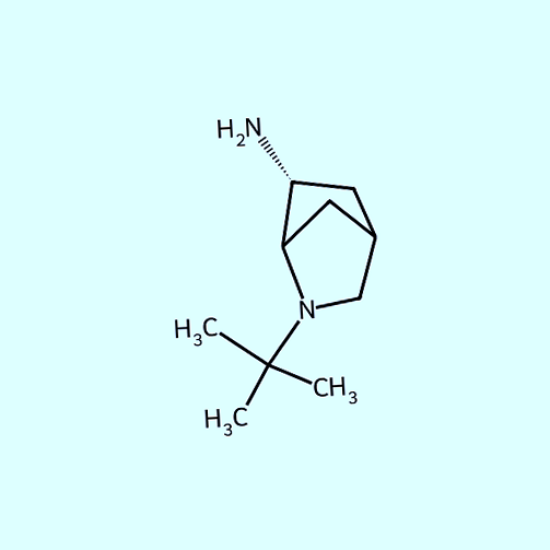 CC(C)(C)N1CC2CC1[C@H](N)C2